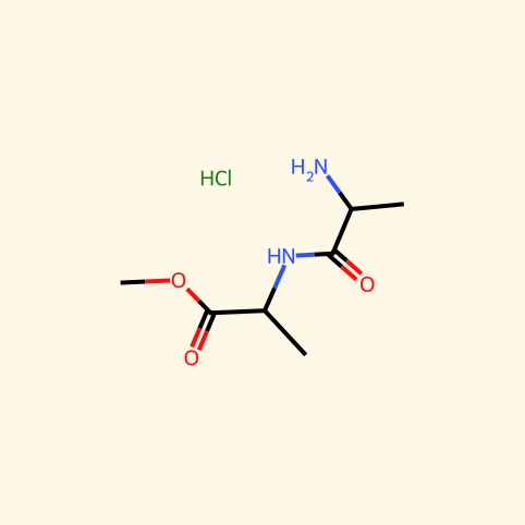 COC(=O)C(C)NC(=O)C(C)N.Cl